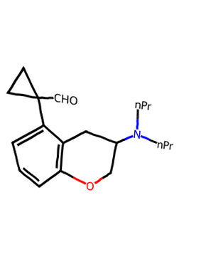 CCCN(CCC)C1COc2cccc(C3(C=O)CC3)c2C1